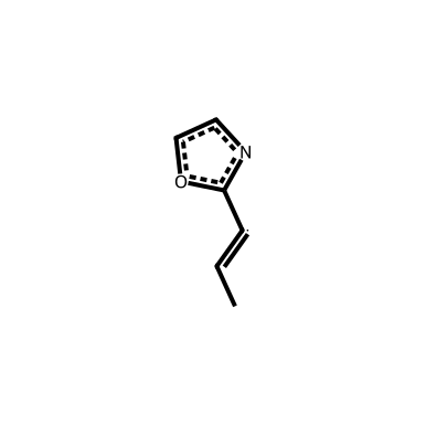 C/C=[C]/c1ncco1